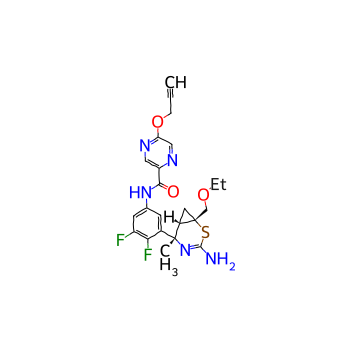 C#CCOc1cnc(C(=O)Nc2cc(F)c(F)c([C@@]3(C)N=C(N)S[C@@]4(COCC)C[C@H]43)c2)cn1